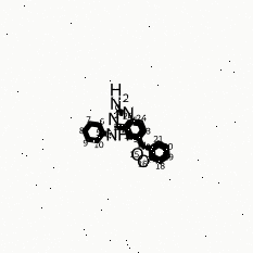 Nc1nc(NC2CCCCC2)c2cc(C3OOc4ccccc43)ccc2n1